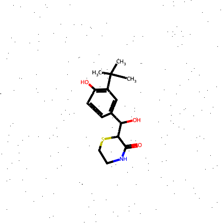 CC(C)(C)c1cc(C(O)C2SCCNC2=O)ccc1O